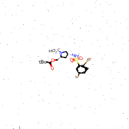 CC(C)(C)C(=O)OC[C@H]1C[C@@H](NS(=O)(=O)c2cc(Br)ccc2Br)CN1C(=O)O